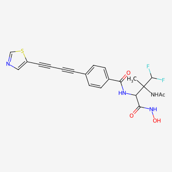 CC(=O)NC(C)(C(F)F)C(NC(=O)c1ccc(C#CC#Cc2cncs2)cc1)C(=O)NO